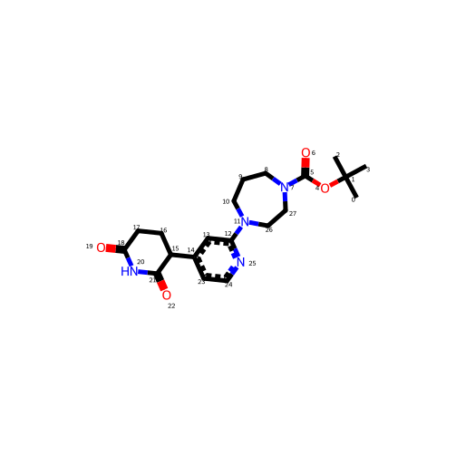 CC(C)(C)OC(=O)N1CCCN(c2cc(C3CCC(=O)NC3=O)ccn2)CC1